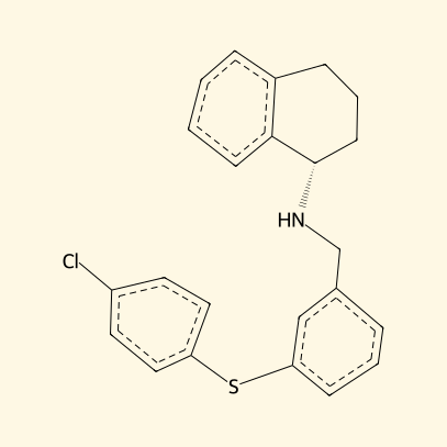 Clc1ccc(Sc2cccc(CN[C@H]3CCCc4ccccc43)c2)cc1